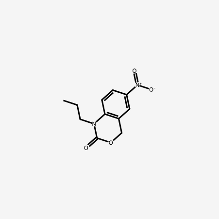 CCCN1C(=O)OCc2cc([N+](=O)[O-])ccc21